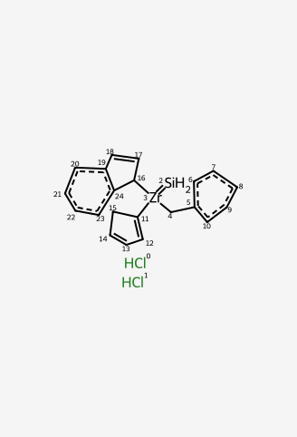 Cl.Cl.[SiH2]=[Zr]([CH2]c1ccccc1)([C]1=CC=CC1)[CH]1C=Cc2ccccc21